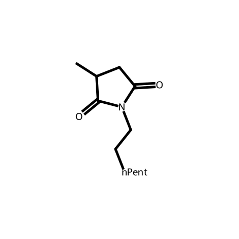 CCCCCCCN1C(=O)CC(C)C1=O